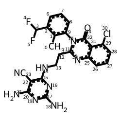 Cc1c(C(F)F)cccc1-n1c(CCNc2nc(N)nc(N)c2C#N)nc2cccc(Cl)c2c1=O